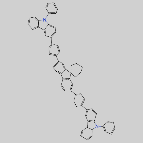 C1=CC2c3cc(C4=CC=C(c5ccc6c(c5)C5(CCCCC5)c5cc(-c7ccc(-c8ccc9c(c8)c8ccccc8n9-c8ccccc8)cc7)ccc5-6)CC4)ccc3N(c3ccccc3)C2C=C1